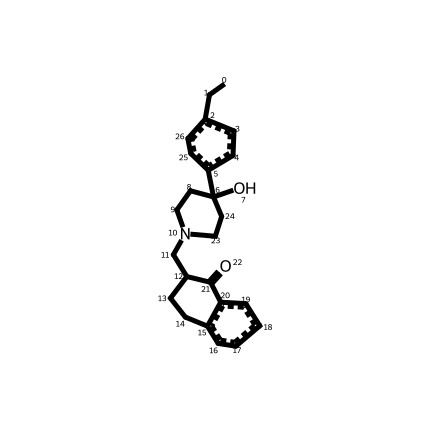 CCc1ccc(C2(O)CCN(CC3CCc4ccccc4C3=O)CC2)cc1